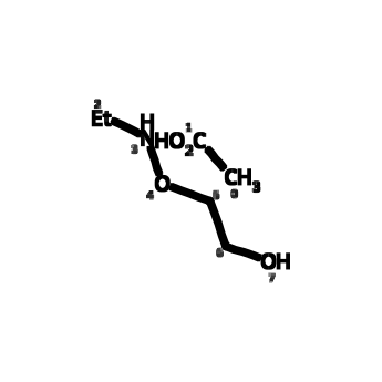 CC(=O)O.CCNOCCO